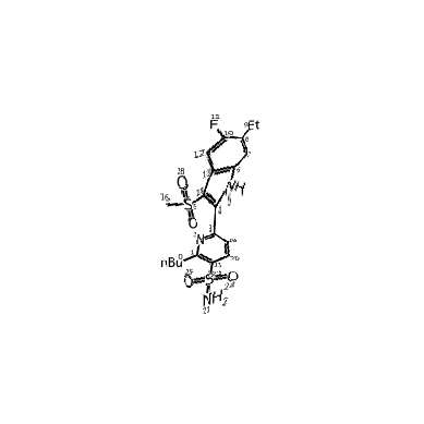 CCCCc1nc(-c2[nH]c3cc(CC)c(F)cc3c2S(C)(=O)=O)ccc1S(N)(=O)=O